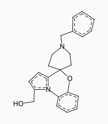 OCc1ccc2n1-c1ccccc1OC21CCN(Cc2ccccc2)CC1